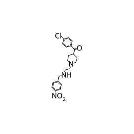 O=C(c1ccc(Cl)cc1)C1CCN(CCNCc2ccc([N+](=O)[O-])cc2)CC1